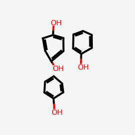 Oc1ccc(O)cc1.Oc1ccccc1.Oc1ccccc1